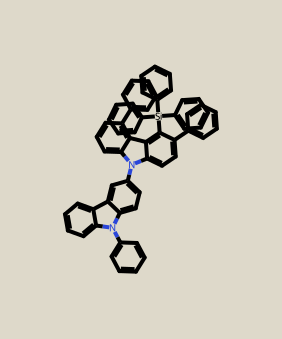 c1ccc(-c2ccc3c(c2[Si](c2ccccc2)(c2ccccc2)c2ccccc2)c2c(-c4ccccc4)cccc2n3-c2ccc3c(c2)c2ccccc2n3-c2ccccc2)cc1